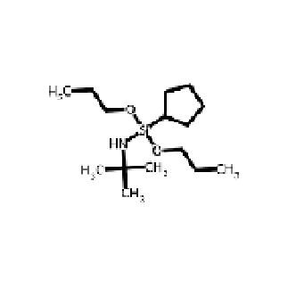 CCCO[Si](NC(C)(C)C)(OCCC)C1CCCC1